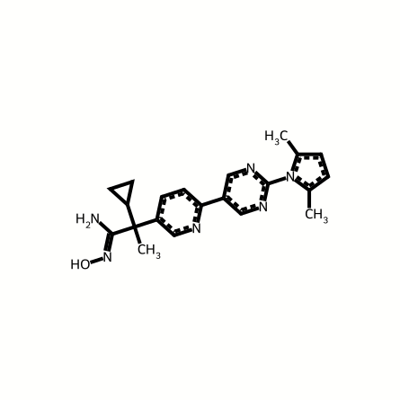 Cc1ccc(C)n1-c1ncc(-c2ccc(C(C)(/C(N)=N/O)C3CC3)cn2)cn1